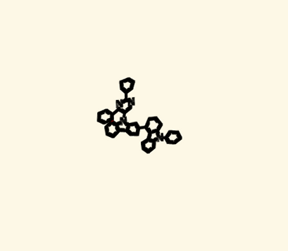 c1ccc(-c2ncc(-n3c4ccccc4c4ccc(-c5cccc6c5c5ccccc5n6-c5ccccc5)cc43)c(-c3ccccc3)n2)cc1